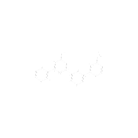 Cc1cc(-c2cccc(-c3cccc(C#N)c3)c2)nc(-c2ccccc2)n1